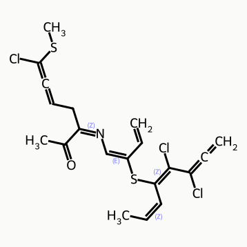 C=C=C(Cl)/C(Cl)=C(\C=C/C)S/C(C=C)=C/N=C(/CC=C=C(Cl)SC)C(C)=O